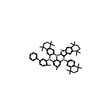 Cc1cc2c3c(c1)N(c1ccc4c(c1)C(C)(C)CCC4(C)C)c1c(sc4cc5c(cc14)C(C)(C)CCC5(C)C)B3c1cc3c(cc1N2c1cc(-c2ccccc2)ccc1C)C(C)(C)CCC3(C)C